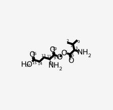 CC(C)C(N)C(=O)OOC(=O)[C@H](N)CCC(=O)O